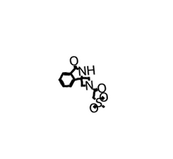 CS(=O)(=O)CC(=O)N1CC2(C1)NC(=O)c1ccccc12